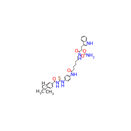 CC(C)(C)c1ccc(C(=O)NC(=S)Nc2ccc(NC(=O)CCCCCCNC(=O)C(Cc3c[nH]c4ccccc34)OC(N)=O)cc2)cc1